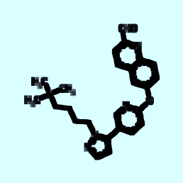 C[Si](C)(C)CCCCn1nccc1-c1ccc(Oc2ccc3nc(C=O)ccc3c2)nc1